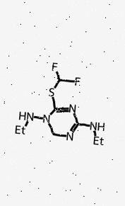 CCNC1=NCN(NCC)C(SC(F)F)=N1